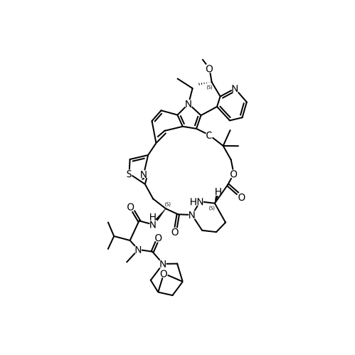 CCn1c(-c2cccnc2[C@H](C)OC)c2c3cc(ccc31)-c1csc(n1)C[C@H](NC(=O)C(C(C)C)N(C)C(=O)N1CC3CC(C1)O3)C(=O)N1CCC[C@H](N1)C(=O)OCC(C)(C)C2